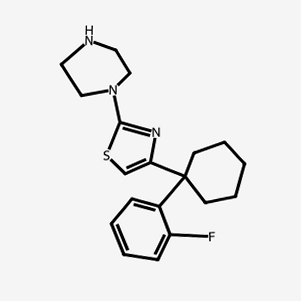 Fc1ccccc1C1(c2csc(N3CCNCC3)n2)CCCCC1